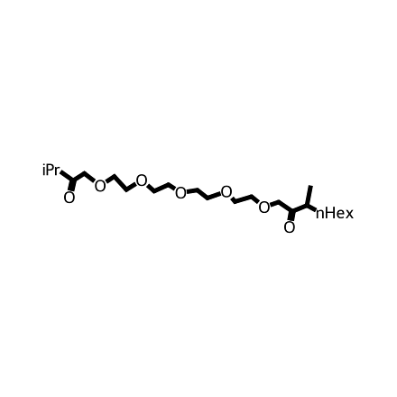 CCCCCCC(C)C(=O)COCCOCCOCCOCCOCC(=O)C(C)C